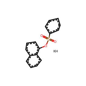 O=S(=O)(Oc1cccc2ccccc12)c1ccccc1.[KH]